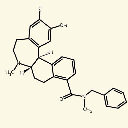 CN(Cc1ccccc1)C(=O)c1cccc2c1CC[C@H]1[C@H]2c2cc(O)c(Cl)cc2CCN1C